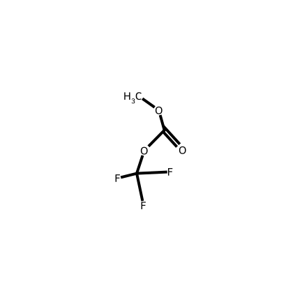 COC(=O)OC(F)(F)F